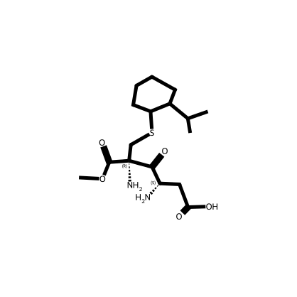 COC(=O)[C@@](N)(CSC1CCCCC1C(C)C)C(=O)[C@@H](N)CC(=O)O